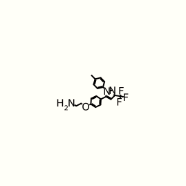 Cc1ccc(-n2nc(C(F)(F)F)cc2-c2ccc(OCCN)cc2)cc1